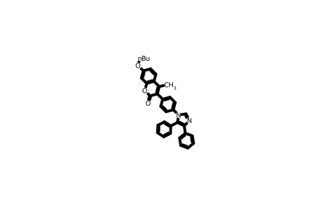 CCCCOc1ccc2c(C)c(-c3ccc(-n4cnc(-c5ccccc5)c4-c4ccccc4)cc3)c(=O)oc2c1